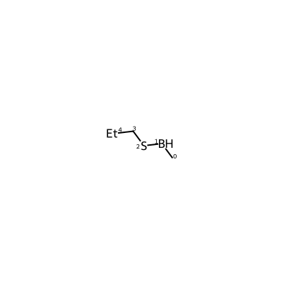 CBSCCC